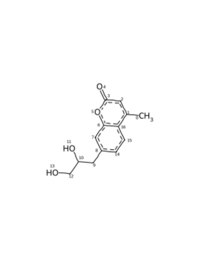 Cc1cc(=O)oc2cc(CC(O)CO)ccc12